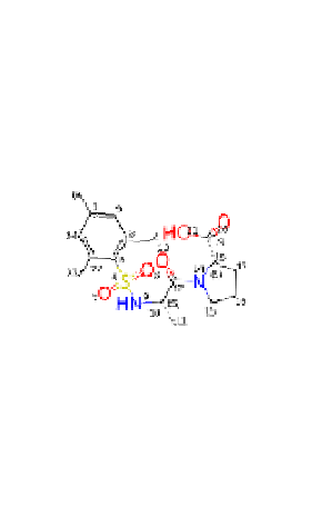 Cc1cc(C)c(S(=O)(=O)N[C@@H](C)C(=O)N2CCC[C@H]2C(=O)O)c(C)c1